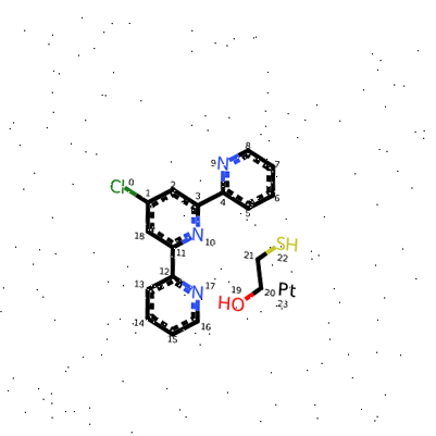 Clc1cc(-c2ccccn2)nc(-c2ccccn2)c1.OCCS.[Pt]